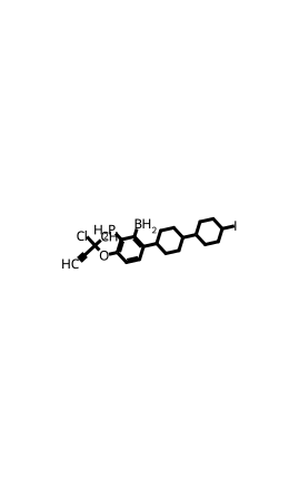 Bc1c(C2CCC(C3CCC(I)CC3)CC2)ccc(OC(C)(Cl)C#C)c1P